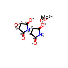 O=C1CCC(=O)[N-]1.O=C1CCC(=O)[N-]1.[Mo+6].[O-2].[O-2]